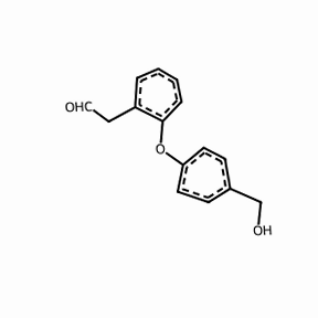 O=CCc1ccccc1Oc1ccc(CO)cc1